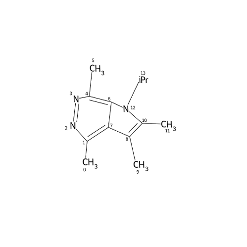 Cc1nnc(C)c2c1c(C)c(C)n2C(C)C